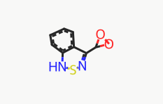 c1ccc2c(c1)NSN=C2C1OO1